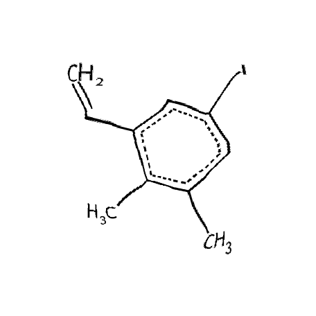 C=Cc1cc(I)cc(C)c1C